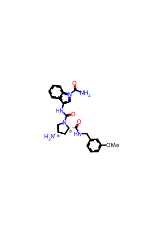 COc1cccc(CNC(=O)[C@@H]2C[C@H](N)CN2C(=O)Nc2cn(C(N)=O)c3ccccc23)c1